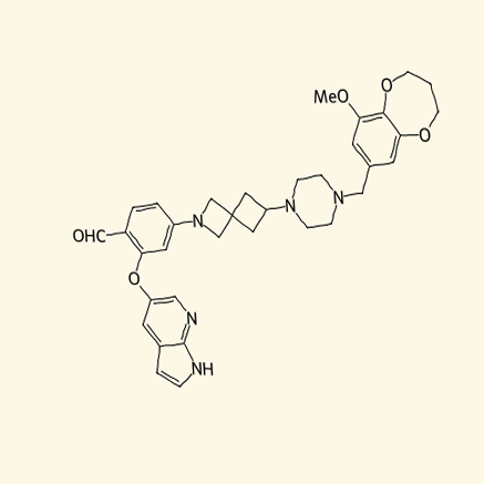 COc1cc(CN2CCN(C3CC4(C3)CN(c3ccc(C=O)c(Oc5cnc6[nH]ccc6c5)c3)C4)CC2)cc2c1OCCCO2